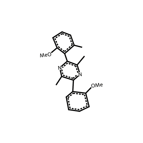 COc1ccccc1-c1nc(C)c(-c2c(C)cccc2OC)nc1C